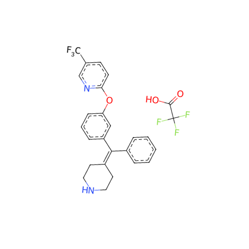 FC(F)(F)c1ccc(Oc2cccc(C(=C3CCNCC3)c3ccccc3)c2)nc1.O=C(O)C(F)(F)F